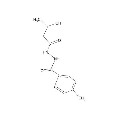 Cc1ccc(C(=O)NNC(=O)C[C@H](C)O)cc1